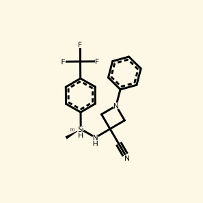 C[Si@H](NC1(C#N)CN(c2ccccc2)C1)c1ccc(C(F)(F)F)cc1